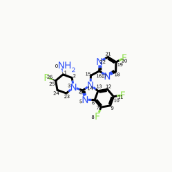 N[C@@H]1CN(c2nc3c(F)cc(F)cc3n2Cc2ncc(F)cn2)CC[C@H]1F